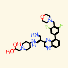 N=C/C(=C\NC1CCN(CC(O)O)CC1)c1cnc2cccc(-c3cc(F)c(CN4CCOCC4)c(F)c3)c2n1